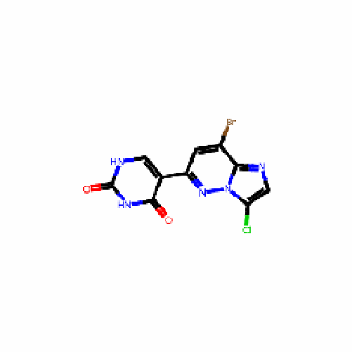 O=c1[nH]cc(-c2cc(Br)c3ncc(Cl)n3n2)c(=O)[nH]1